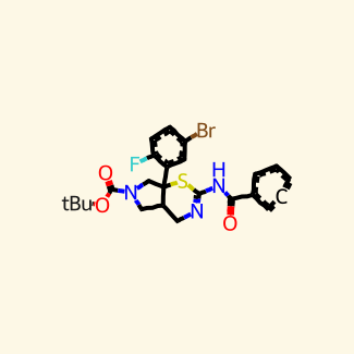 CC(C)(C)OC(=O)N1CC2CN=C(NC(=O)c3ccccc3)SC2(c2cc(Br)ccc2F)C1